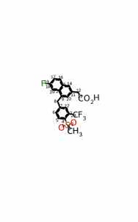 CS(=O)(=O)c1ccc(Cc2cc(CC(=O)O)cc3ccc(F)cc23)cc1C(F)(F)F